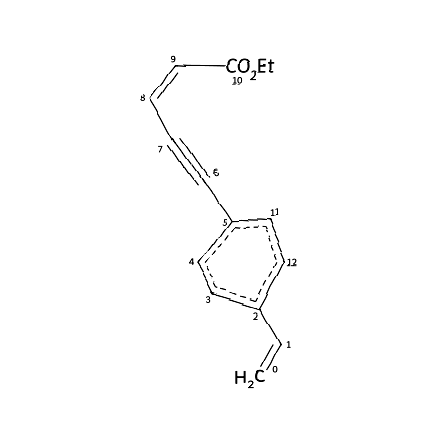 C=Cc1ccc(C#C/C=C\C(=O)OCC)cc1